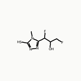 Cn1c(S)nnc1C(F)C(O)CF